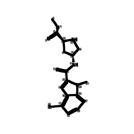 COC(=O)[C@@H]1C[C@@H](NC(=O)c2cc3c(Br)cccc3n2C)CN1